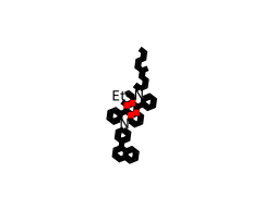 C=C(\C=C/C=C(C)/C=C\C=C/C)N(C(/C=C\C)=C/CC)c1ccccc1-c1ccc(-c2ccccc2N(c2ccccc2)c2ccc(-c3cccc4ccccc34)cc2)cc1